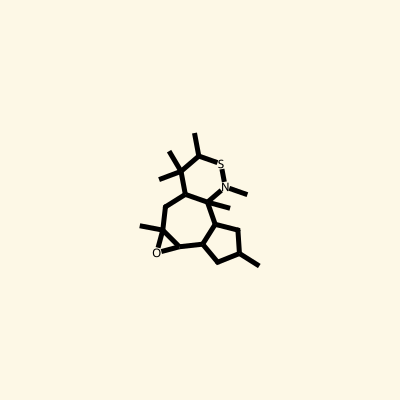 CC1CC2C3OC3(C)CC3C(C)(C)C(C)SN(C)C3(C)C2C1